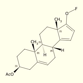 CC(=O)O[C@H]1CC[C@@]2(C)C(=CC[C@H]3C4=CC=C(OF)[C@@]4(C)CC[C@@H]32)C1